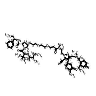 CC[C@@H](NC(=O)[C@@H]1C[C@H](NCCOCCOCCC(=O)N(C)CCn2nc3c(c2C#N)-c2cnc(N)c(c2)O[C@H](C)c2cc(F)ccc2C(=O)N(C)C3)CN1C(=O)C(NC(=O)[C@H](C)NC)C(C)(C)C)c1ccccc1